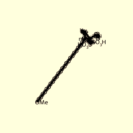 CCCCN1C(=CC=CC=CC2=[N+](CCCCCC(=O)NCCOCCOCCOCCOCCOCCOCCOCCOCCOCCOCCOCCOCCOCCOCCOCCOCCOCCOCCOCCOCCOCCOCCOCCOC)c3ccc(C)cc3C2(C)C)C(C)(CCCCCC(=O)ON2C(=O)CCC2=O)c2c1ccc1c(S(=O)(=O)O)cc(S(=O)(=O)O)cc21